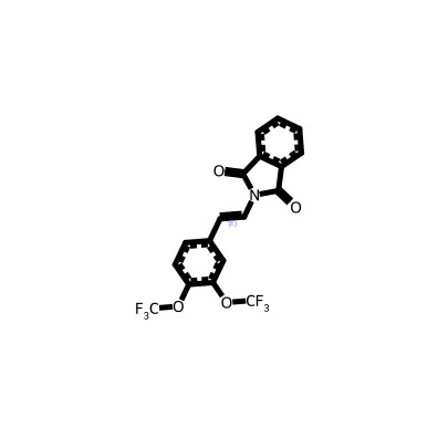 O=C1c2ccccc2C(=O)N1/C=C/c1ccc(OC(F)(F)F)c(OC(F)(F)F)c1